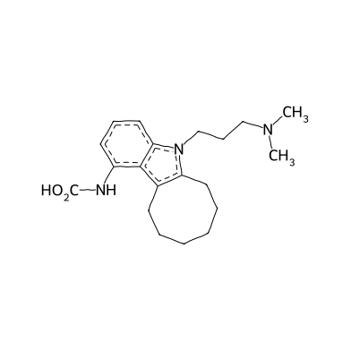 CN(C)CCCn1c2c(c3c(NC(=O)O)cccc31)CCCCCC2